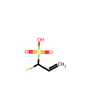 C=CC(F)S(=O)(=O)O